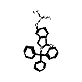 CC1c2ccc(OB(O)O)cc2CN1C(c1ccccc1)(c1ccccc1)c1ccccc1